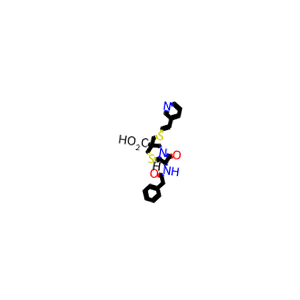 O=C(Cc1ccccc1)NC1C(=O)N2CC(CSC=Cc3cccnc3)(C(=O)O)CS[C@H]12